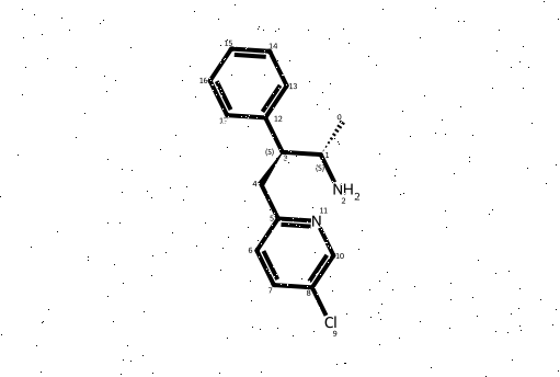 C[C@H](N)[C@@H](Cc1ccc(Cl)cn1)c1ccccc1